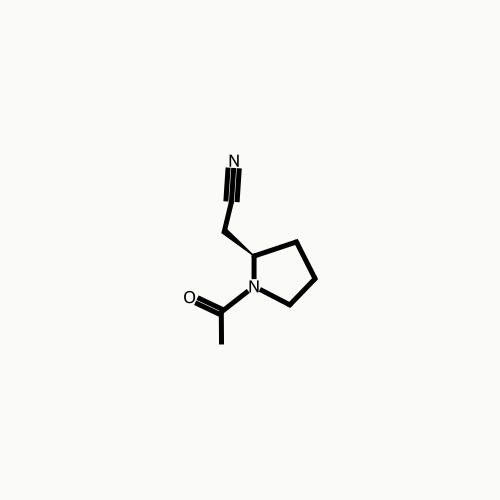 CC(=O)N1CCC[C@@H]1CC#N